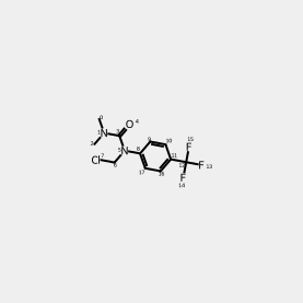 CN(C)C(=O)N(CCl)c1ccc(C(F)(F)F)cc1